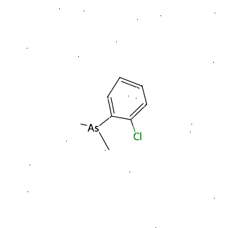 C[As](C)c1ccccc1Cl